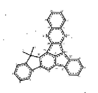 CC1(C)c2ccccc2-c2cc3c4ccccc4n4c5nc6ccccc6nc5c(c21)c34